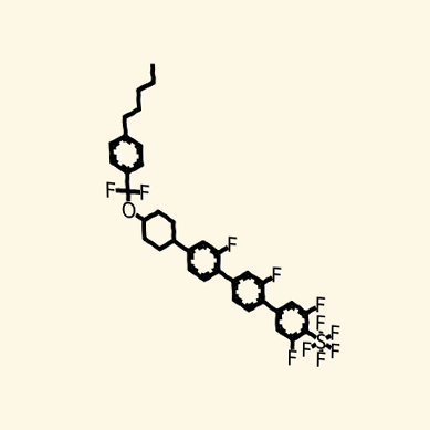 CCCCCc1ccc(C(F)(F)OC2CCC(c3ccc(-c4ccc(-c5cc(F)c(S(F)(F)(F)(F)F)c(F)c5)c(F)c4)c(F)c3)CC2)cc1